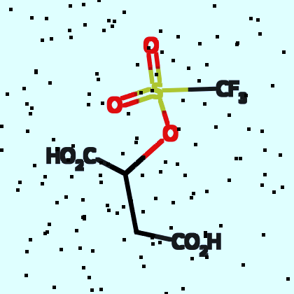 O=C(O)CC(OS(=O)(=O)C(F)(F)F)C(=O)O